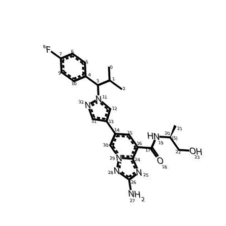 CC(C)C(c1ccc(F)cc1)n1cc(-c2cc(C(=O)N[C@@H](C)CO)c3nc(N)nn3c2)cn1